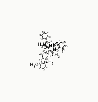 Cc1cccc(C)c1CN1CCN(c2c(C)n(Cc3c(F)cccc3F)c(=O)n(C[C@H](N)c3ccccc3)c2=O)CC1